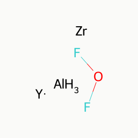 FOF.[AlH3].[Y].[Zr]